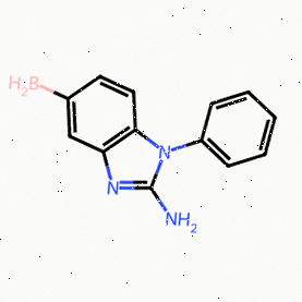 Bc1ccc2c(c1)nc(N)n2-c1ccccc1